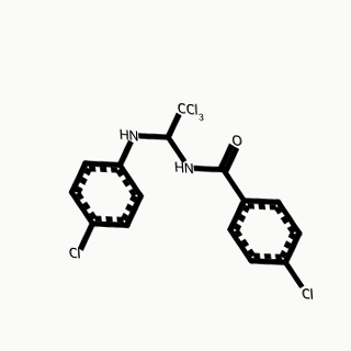 O=C(NC(Nc1ccc(Cl)cc1)C(Cl)(Cl)Cl)c1ccc(Cl)cc1